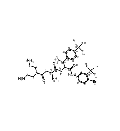 NCCN(CCN)C(=O)C[C@H](N)C(=O)NC(C(=O)Nc1ccc(Br)c(C(F)(F)F)c1)[C@H](O)c1ccc(C(F)(F)F)cc1